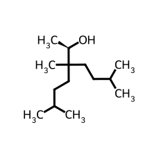 CC(C)CCC(C)(CCC(C)C)[C@@H](C)O